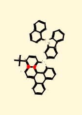 CC(C)(C)c1ccc(N(c2ccc3c4ccccc4n(-c4cccc5ccccc45)c3c2)c2cccc3c4ccccc4c4ccccc4c23)cc1